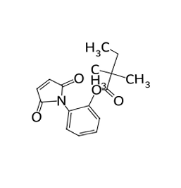 CCC(C)(C)C(=O)Oc1ccccc1N1C(=O)C=CC1=O